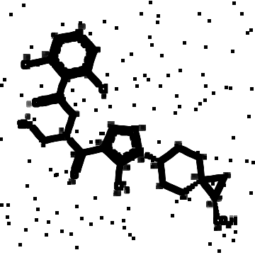 CC(C)(C)CN(CC(=O)c1c(Cl)cncc1Cl)C(=O)c1cnn([C@H]2CC[C@]3(CC2)C[C@@H]3C(=O)O)c1C(F)(F)F